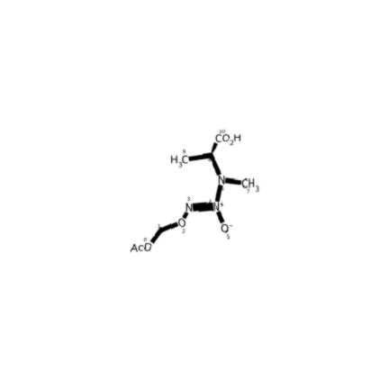 CC(=O)OCO/N=[N+](\[O-])N(C)[C@@H](C)C(=O)O